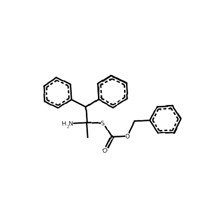 CC(N)(SC(=O)OCc1ccccc1)C(c1ccccc1)c1ccccc1